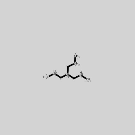 C[SiH2]C[SiH](C[SiH2]C)C[SiH2]C